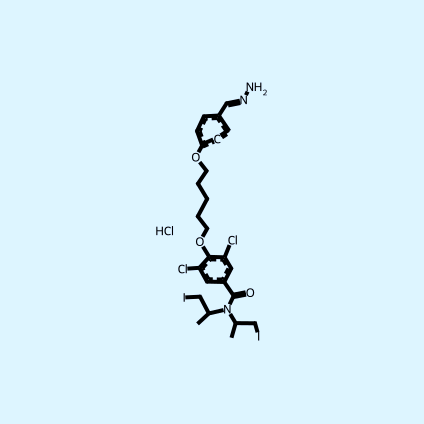 CC(CI)N(C(=O)c1cc(Cl)c(OCCCCCOc2ccc(C=NN)cc2)c(Cl)c1)C(C)CI.Cl